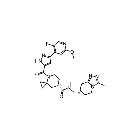 COc1cc(-c2cc(C(=O)N3CC[C@H](C(=O)NC[C@H]4CCn5c(C)nnc5C4)CC34CC4)[nH]n2)c(F)cn1